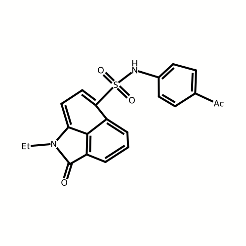 CCN1C(=O)c2cccc3c(S(=O)(=O)Nc4ccc(C(C)=O)cc4)ccc1c23